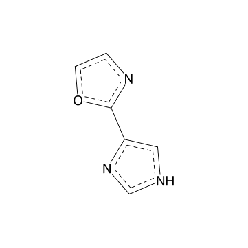 c1coc(-c2c[nH]cn2)n1